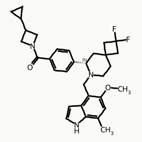 COc1cc(C)c2[nH]ccc2c1CN1CCC2(C[C@H]1c1ccc(C(=O)N3CC(C4CC4)C3)cc1)CC(F)(F)C2